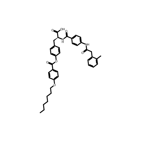 CCCCCCCOc1ccc(C(=O)Oc2ccc(C[C@H](NC(=O)c3ccc(NC(=O)Cc4ccccc4C)cc3)C(=O)O)cc2)cc1